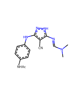 CC(=O)Nc1ccc(Nc2n[nH]c(N=CN(C)C)c2C#N)cc1